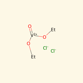 CC[O][V+2](=[O])[O]CC.[Cl-].[Cl-]